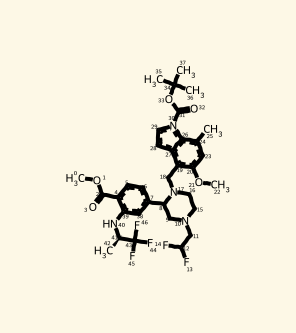 COC(=O)c1ccc(C2CN(CC(F)F)CCN2Cc2c(OC)cc(C)c3c2ccn3C(=O)OC(C)(C)C)cc1N[C@H](C)C(F)(F)F